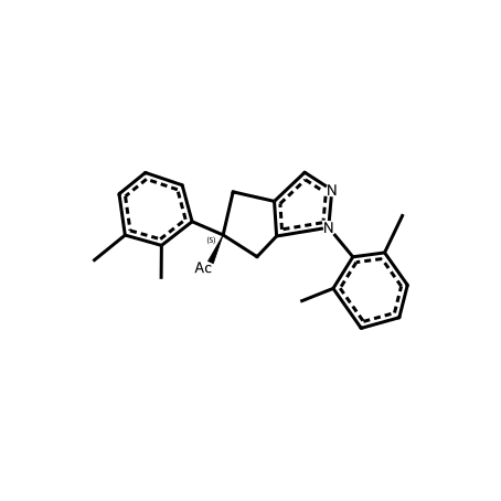 CC(=O)[C@@]1(c2cccc(C)c2C)Cc2cnn(-c3c(C)cccc3C)c2C1